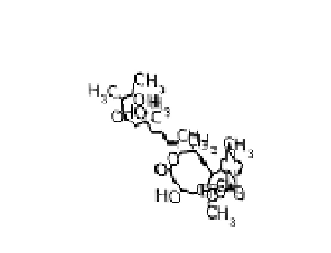 CCO[C@]1(C)CC[C@@H](O)CC(=O)O[C@H](/C(C)=C/C=C/[C@](C)(O)C[C@H]2O[C@@H]2[C@@H](C)[C@@H](O)CC)[C@@H](C)/C=C/[C@H]1C1CN(C)CCN1C(=O)O